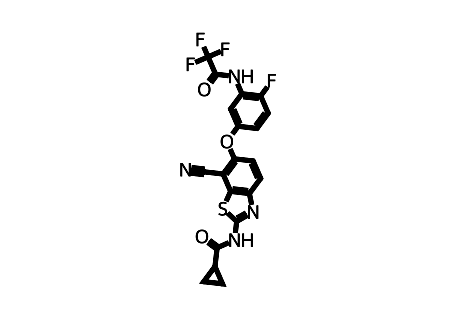 N#Cc1c(Oc2ccc(F)c(NC(=O)C(F)(F)F)c2)ccc2nc(NC(=O)C3CC3)sc12